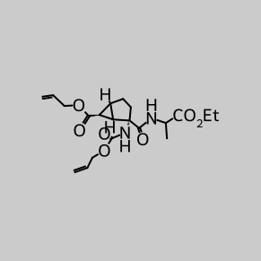 C=CCOC(=O)N[C@@]1(C(=O)NC(C)C(=O)OCC)CC[C@H]2[C@H](C(=O)OCC=C)[C@H]21